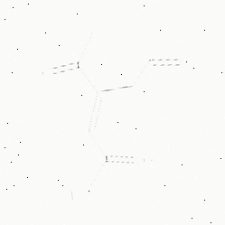 C=CC/C(=C\C(=O)O)C(C)=O